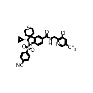 N#Cc1ccc(S(=O)(=O)N2c3ccc(C(=O)NCc4ncc(C(F)(F)F)cc4Cl)cc3C3(CCSCC3)[C@H]2C2CC2)cc1